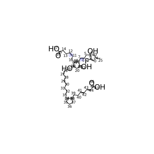 C=C(F)C(O)(C/C=C/[C@@H]1[C@@H](C/C=C\CCC(=O)O)[C@@H](O)C[C@H]1O)CCC.CCCCCCCC[C@H]1CCC[C@@H]1CCC=CC=CC(=O)O